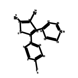 Fc1ccc(-c2sc(Br)c(Br)c2-c2ccncc2)cc1